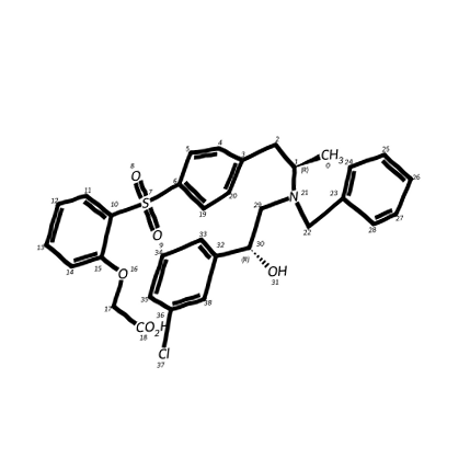 C[C@H](Cc1ccc(S(=O)(=O)c2ccccc2OCC(=O)O)cc1)N(Cc1ccccc1)C[C@H](O)c1cccc(Cl)c1